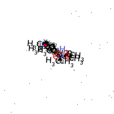 CC(C)C(NCC(=O)OC(C)(C)C)C(=O)OC1CCC2(C)C(=CCC3C2CCC24CN(C)C(C)C2CCC34)C1